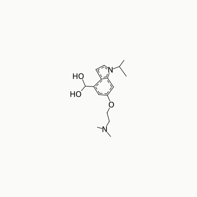 CC(C)n1ccc2c(C(O)O)cc(OCCN(C)C)cc21